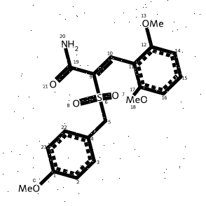 COc1ccc(CS(=O)(=O)C(=Cc2c(OC)cccc2OC)C(N)=O)cc1